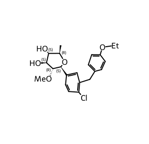 CCOc1ccc(Cc2cc([C@@H]3O[C@H](C)[C@@H](O)[C@H](O)[C@H]3OC)ccc2Cl)cc1